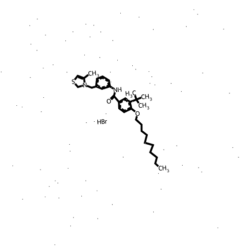 Br.CCCCCCCCCCOc1ccc(C(=O)Nc2cccc(CN3CSC=C3C)c2)cc1C(C)(C)C